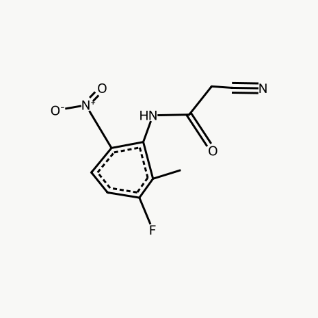 Cc1c(F)ccc([N+](=O)[O-])c1NC(=O)CC#N